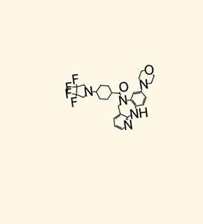 O=C(C1CCC(N2CC(F)(F)C(F)(F)C2)CC1)N1Cc2cccnc2Nc2ccc(N3CCOCC3)cc21